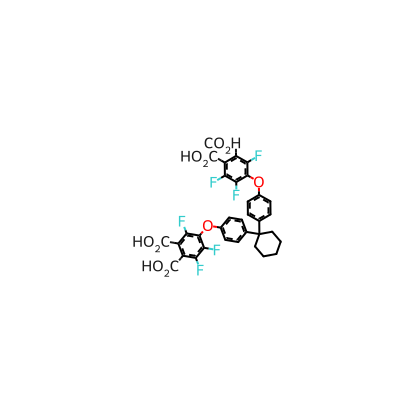 O=C(O)c1c(F)c(F)c(Oc2ccc(C3(c4ccc(Oc5c(F)c(F)c(C(=O)O)c(C(=O)O)c5F)cc4)CCCCC3)cc2)c(F)c1C(=O)O